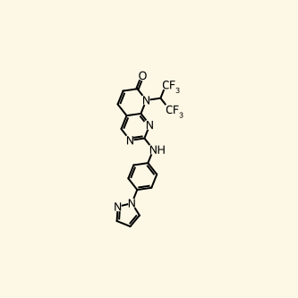 O=c1ccc2cnc(Nc3ccc(-n4cccn4)cc3)nc2n1C(C(F)(F)F)C(F)(F)F